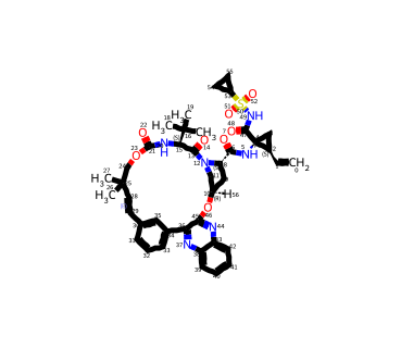 C=C[C@@H]1C[C@]1(NC(=O)[C@@H]1C[C@@H]2CN1C(=O)[C@H](C(C)(C)C)NC(=O)OCC(C)(C)/C=C/c1cccc(c1)-c1nc3ccccc3nc1O2)C(=O)NS(=O)(=O)C1CC1